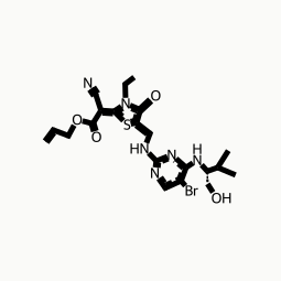 C=CCOC(=O)C(C#N)=c1sc(=CNc2ncc(Br)c(N[C@@H](CO)C(C)C)n2)c(=O)n1CC